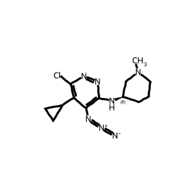 CN1CCC[C@@H](Nc2nnc(Cl)c(C3CC3)c2N=[N+]=[N-])C1